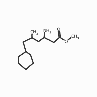 COC(=O)CC(N)CC(C)CC1CCCCC1